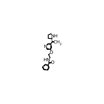 C=C(c1cncc(OCCNC(=O)c2ccccc2)c1)[C@H]1CCCN1